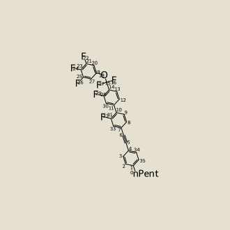 CCCCCc1ccc(C#Cc2ccc(-c3ccc(C(F)(F)Oc4cc(F)c(F)c(F)c4)c(F)c3)c(F)c2)cc1